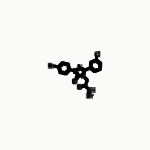 CC(C)NC(=O)Cn1c(-c2cccc(Cl)c2)nn(-c2ccc(Br)cc2)c1=O